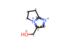 OCc1cnc2n1CCC2